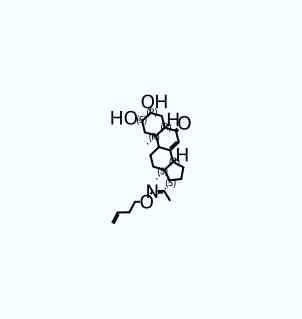 C=CCCON=C(C)[C@H]1CC[C@H]2C3=CC(=O)[C@@H]4C[C@@H](O)[C@@H](O)C[C@]4(C)C3CC[C@]12C